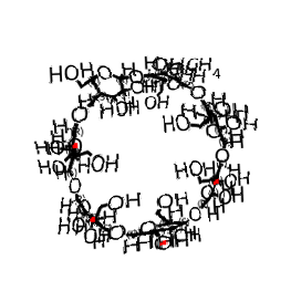 C.OC[C@H]1O[C@@H]2O[C@H]3[C@H](O)[C@@H](O)[C@@H](O[C@H]4[C@H](O)[C@@H](O)[C@@H](O[C@H]5[C@H](O)[C@@H](O)[C@@H](O[C@H]6[C@H](O)[C@@H](O)[C@@H](O[C@H]7[C@H](O)[C@@H](O)[C@@H](O[C@H]8[C@H](O)[C@@H](O)[C@@H](O[C@H]1[C@H](O)[C@H]2O)O[C@@H]8CO)O[C@@H]7CO)O[C@@H]6CO)O[C@@H]5CO)O[C@@H]4CO)O[C@@H]3CO